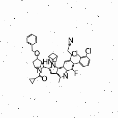 Cc1nc2c(F)c(-c3cccc(Cl)c3Cl)c(CCC#N)cc2c2c1cc(C1C3CC(CC3OCc3ccccc3)N1C(=O)C1CC1)n2C1C2CNC1C2